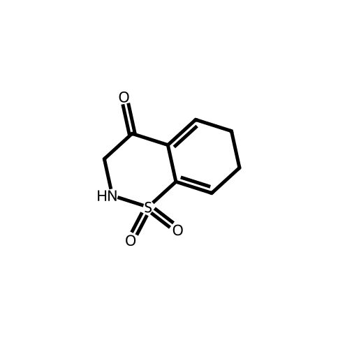 O=C1CNS(=O)(=O)C2=CCCC=C12